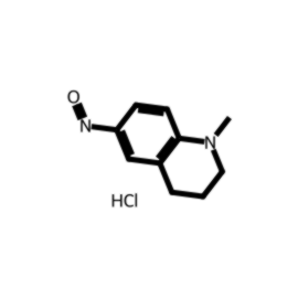 CN1CCCc2cc(N=O)ccc21.Cl